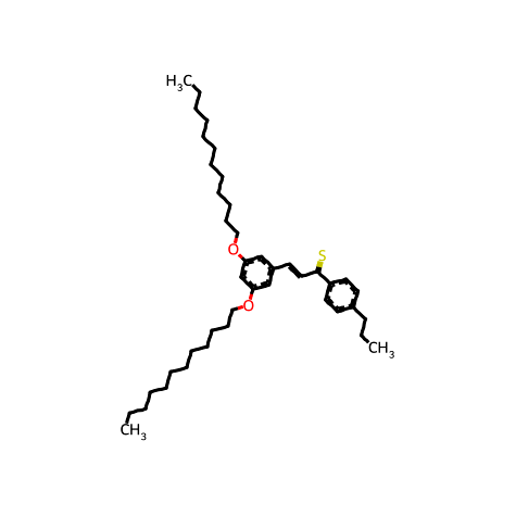 CCCCCCCCCCCCOc1cc(C=CC(=S)c2ccc(CCC)cc2)cc(OCCCCCCCCCCCC)c1